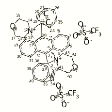 C[N+]1(C2(c3c4ccccc4c(C4([N+]5(C)CCOCC5)C#Cc5ccc4cc5)c4ccccc34)C#Cc3ccc2cc3)CCOCC1.O=S(=O)([O-])C(F)(F)F.O=S(=O)([O-])C(F)(F)F